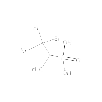 CCC(C#N)(CC)C(C)P(=O)(O)O